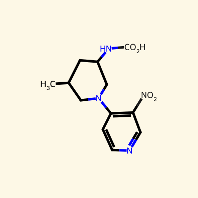 CC1CC(NC(=O)O)CN(c2ccncc2[N+](=O)[O-])C1